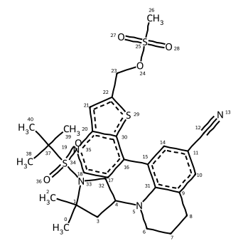 CC1(C)CC(N2CCCc3cc(C#N)cc(-c4ccnc5cc(COS(C)(=O)=O)sc45)c32)CN1S(=O)(=O)C(C)(C)C